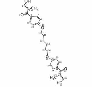 C/C(=N\O)C(=O)c1ccc(OCCCCCCOc2ccc(C(=O)/C(C)=N/O)cc2)cc1